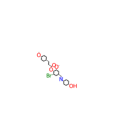 COc1ccc(C=CC(=O)Oc2c(Br)cc(/C=N/c3ccc(O)cc3)cc2OC)cc1